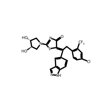 O=C1N=C(N2C[C@@H](O)[C@H](O)C2)SC1=C(Cc1ccc(Cl)cc1C(F)(F)F)c1ccc2[nH]ncc2c1